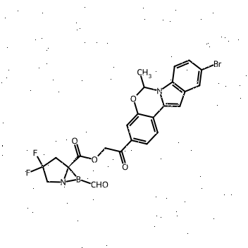 CC1Oc2cc(C(=O)COC(=O)[C@]34CC(F)(F)CN3B4C=O)ccc2-c2cc3cc(Br)ccc3n21